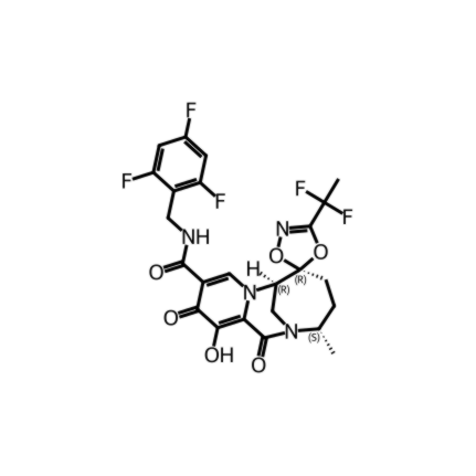 C[C@H]1CC[C@@]2(ON=C(C(C)(F)F)O2)[C@H]2CN1C(=O)c1c(O)c(=O)c(C(=O)NCc3c(F)cc(F)cc3F)cn12